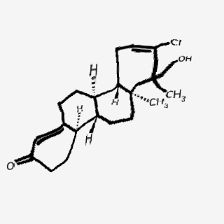 CC1(O)C(Cl)=CC[C@H]2[C@@H]3CCC4=CC(=O)CC[C@@H]4[C@H]3CC[C@@]21C